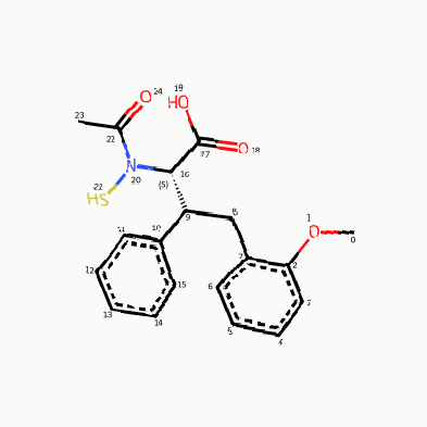 COc1ccccc1CC(c1ccccc1)[C@@H](C(=O)O)N(S)C(C)=O